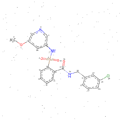 COc1cncc(NS(=O)(=O)c2ccccc2C(=O)NCc2cccc(Cl)c2)c1